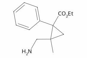 CCOC(=O)C1(c2ccccc2)CC1(C)CN